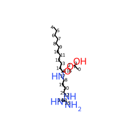 CC(=O)O.CCCCCCCCCCCC(=O)NCCCCNC(=N)N